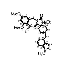 CCN1C(=O)N2Cc3cc(OC)cc(OC)c3[C@@H](C)C=C2C12CCN(Cc1cccc3c1ccn3C)CC2